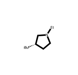 CCC(C)[C@H]1CCN(CC)C1